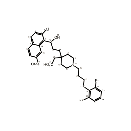 COc1ccc2ncc(Cl)c([C@@H](O)CCC3(CC(=O)O)CCN(CCCSc4c(F)cccc4F)CC3)c2c1